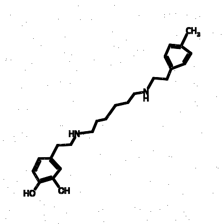 Cc1ccc(CCNCCCCCCNCCc2ccc(O)c(O)c2)cc1